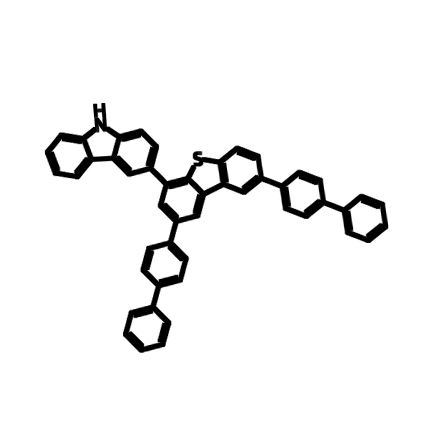 c1ccc(-c2ccc(-c3ccc4sc5c(-c6ccc7[nH]c8ccccc8c7c6)cc(-c6ccc(-c7ccccc7)cc6)cc5c4c3)cc2)cc1